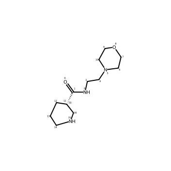 O=C(NCCN1CCOCC1)[C@H]1CCCNC1